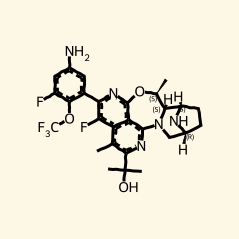 Cc1c(C(C)(C)O)nc2c3c(nc(-c4cc(N)cc(F)c4OC(F)(F)F)c(F)c13)O[C@@H](C)[C@@H]1[C@@H]3CC[C@H](CN21)N3